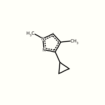 Cc1[c]n(C)nc1C1CC1